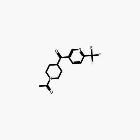 CC(=O)N1CCC(C(=O)c2ccc(C(F)(F)F)nc2)CC1